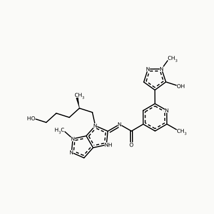 Cc1cc(C(=O)/N=c2\[nH]c3cnn(C)c3n2C[C@H](C)CCCO)cc(-c2cnn(C)c2O)n1